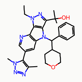 CCn1nc(C(C)(C)O)c2c1c1ncc(-c3c(C)nnn3C)cc1n2C(c1ccccc1)C1CCOCC1